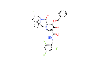 O=C(NCc1c(F)cc(F)cc1F)c1cn2c(c(OCc3ccccc3)c1=O)C(=O)N1C3C[C@H](C[C@@H]3F)[C@H]1C2